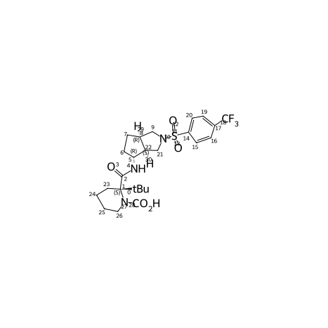 CC(C)(C)[C@]1(C(=O)N[C@@H]2CC[C@H]3CN(S(=O)(=O)c4ccc(C(F)(F)F)cc4)C[C@H]32)CCCCN1C(=O)O